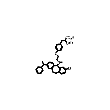 CCOC(Cc1ccc(OCCN(C)C2c3ccc(C(C)c4ccccc4)cc3CCc3ccc(CC)cc32)cc1)C(=O)O